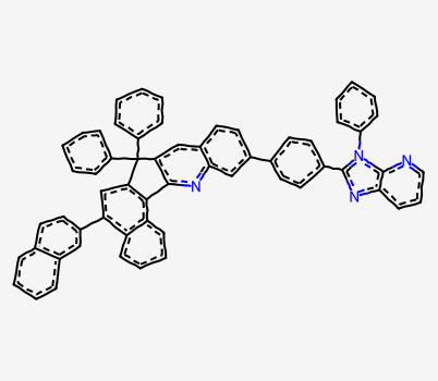 c1ccc(-n2c(-c3ccc(-c4ccc5cc6c(nc5c4)-c4c(cc(-c5ccc7ccccc7c5)c5ccccc45)C6(c4ccccc4)c4ccccc4)cc3)nc3cccnc32)cc1